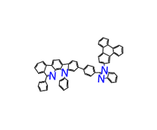 c1ccc(-c2nc3c(ccc4c5ccc(-c6ccc(-c7nc8ccccc8n7-c7ccc8c9ccccc9c9ccccc9c8c7)cc6)cc5n(-c5ccccc5)c43)c3ccccc23)cc1